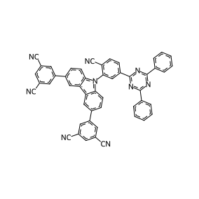 N#Cc1cc(C#N)cc(-c2ccc3c(c2)c2cc(-c4cc(C#N)cc(C#N)c4)ccc2n3-c2cc(-c3nc(-c4ccccc4)nc(-c4ccccc4)n3)ccc2C#N)c1